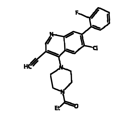 C#Cc1cnc2cc(-c3ccccc3F)c(Cl)cc2c1N1CCN(C(=O)CC)CC1